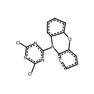 Clc1nc(Cl)nc(N2c3ccccc3Oc3ccccc32)n1